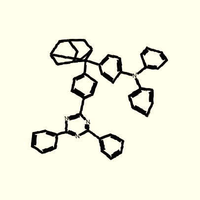 c1ccc(-c2nc(-c3ccccc3)nc(-c3ccc(C4(c5ccc(N(c6ccccc6)c6ccccc6)cc5)C5CC6CC(C5)CC4C6)cc3)n2)cc1